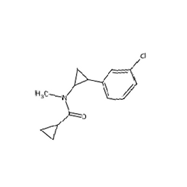 CN(C(=O)C1CC1)C1CC1c1cccc(Cl)c1